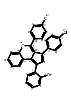 Oc1ccccc1-c1cc(-c2ccc(Cl)cc2)c2c(-c3ccc(Cl)cc3)oc3ccccc3c1-2